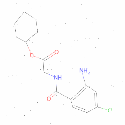 Nc1cc(Cl)ccc1C(=O)NCC(=O)OC1CCCCC1